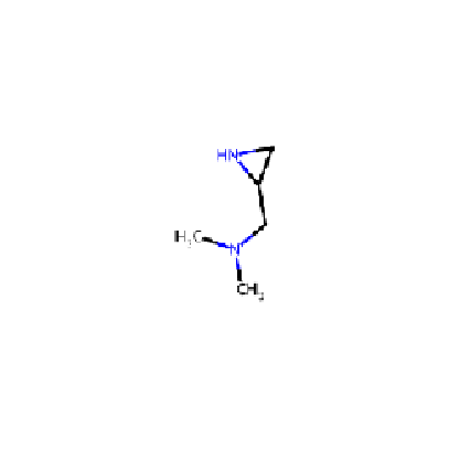 CN(C)CC1CN1